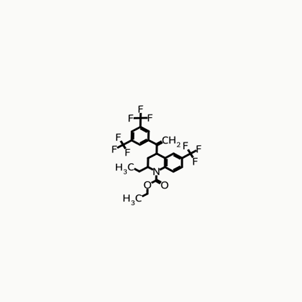 C=C(c1cc(C(F)(F)F)cc(C(F)(F)F)c1)C1CC(CC)N(C(=O)OCC)c2ccc(C(F)(F)F)cc21